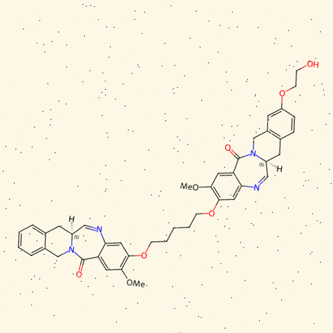 COc1cc2c(cc1OCCCCCOc1cc3c(cc1OC)C(=O)N1Cc4cc(OCCO)ccc4C[C@H]1C=N3)N=C[C@@H]1Cc3ccccc3CN1C2=O